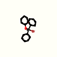 Br[Si](Oc1ccccc1)(c1ccccc1)c1ccccc1